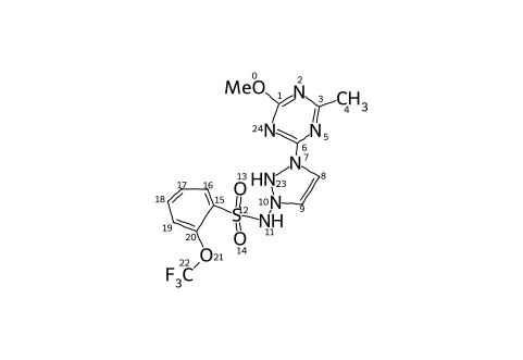 COc1nc(C)nc(N2C=CN(NS(=O)(=O)c3ccccc3OC(F)(F)F)N2)n1